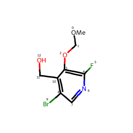 COCOc1c(F)ncc(Br)c1CO